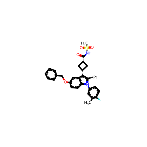 Cc1cc(-n2c(C(C)C)c([C@H]3C[C@@H](C(=O)NS(C)(=O)=O)C3)c3cc(OCc4ccccc4)ccc32)ccc1F